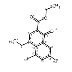 CCOC(=O)c1cn(CC)c2c(F)cc(F)cc2c1=O